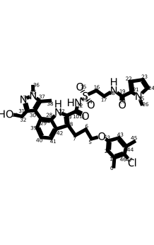 Cc1cc(OCCCc2c(C(=O)NS(=O)(=O)CCNC(=O)c3cccn3C)[nH]c3c(-c4c(CO)nn(C)c4C)cccc23)cc(C)c1Cl